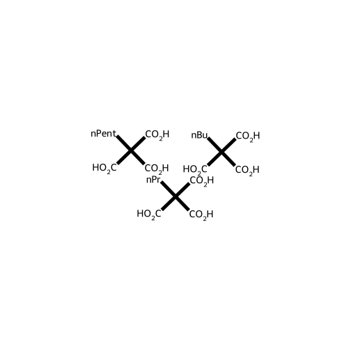 CCCC(C(=O)O)(C(=O)O)C(=O)O.CCCCC(C(=O)O)(C(=O)O)C(=O)O.CCCCCC(C(=O)O)(C(=O)O)C(=O)O